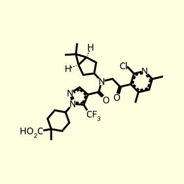 Cc1cc(C)c(C(=O)CN(C(=O)c2cnn(C3CCC(C)(C(=O)O)CC3)c2C(F)(F)F)C2C[C@@H]3[C@H](C2)C3(C)C)c(Cl)n1